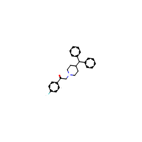 O=C(CN1CCC(C(c2ccccc2)c2ccccc2)CC1)c1ccc(F)cc1